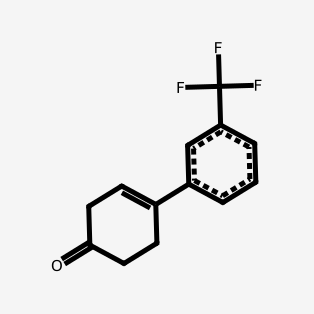 O=C1CC=C(c2cccc(C(F)(F)F)c2)CC1